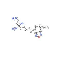 NCCC(N)(N)CCCCCc1ccc([N+](=O)[O-])c2nonc12